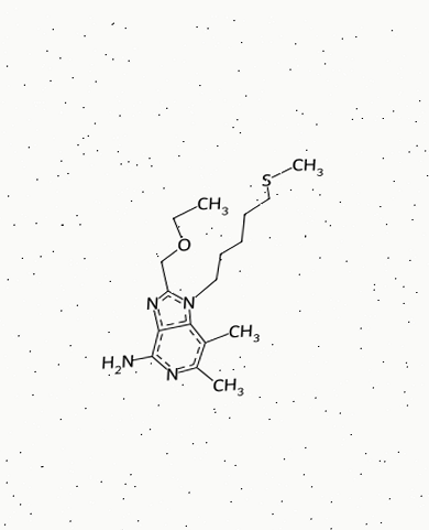 CCOCc1nc2c(N)nc(C)c(C)c2n1CCCCCSC